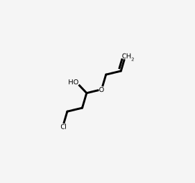 C=CCOC(O)CCCl